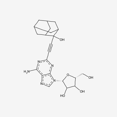 Nc1nc(C#CC2(O)C3CC4CC(C3)CC2C4)nc2c1ncn2[C@@H]1O[C@H](CO)C(O)C1O